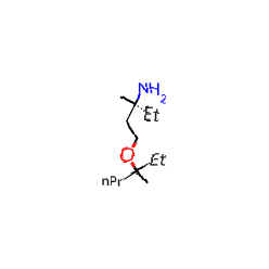 CCCC(C)(CC)OCC[C@@](C)(N)CC